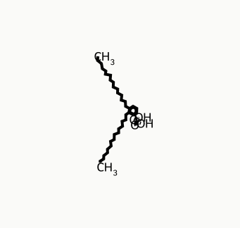 CCCCCCCCCCCCCCCCc1cccc(OP(=O)(O)O)c1CCCCCCCCCCCCCCCC